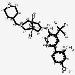 Cc1ccc(-c2cc(C(F)(F)F)c(N[C@H]3C[C@@H]4CN(CC5CCOCC5)C[C@@H]4C3)nn2)c(C)c1